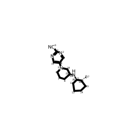 N#Cc1ncc(N2CCC[C@H](N[C@@H]3CCCC[C@H]3I)C2)cn1